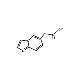 CC(C)NCc1ccc2nccn2c1